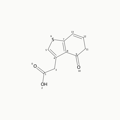 O=C(O)Cc1csc2c1C(=O)CC=C2